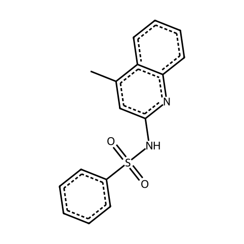 Cc1cc(NS(=O)(=O)c2ccccc2)nc2ccccc12